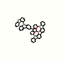 c1ccc(-n2c3ccccc3c3ccc4c5ccc6c7ccccc7n(-c7ccccc7)c6c5n(-c5ccc(-c6ccc7c(c6)c6ccccc6n7-c6cccc7oc8ccccc8c67)cc5)c4c32)cc1